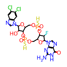 Nc1nc2c(ncn2C2OC3COP(=O)(S)OC4C(COP(=O)(S)OC3C2F)OC(n2cnc3cc(Cl)c(Cl)cc32)C4O)c(=O)[nH]1